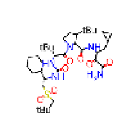 CC(C)(C)CS(=O)(=O)C[C@@H](NC(=O)N[C@H](C(=O)N1CCC(C(C)(C)C)C1C(=O)NC(CC1CC1)C(=O)C(N)=O)C(C)(C)C)C1CCCCC1